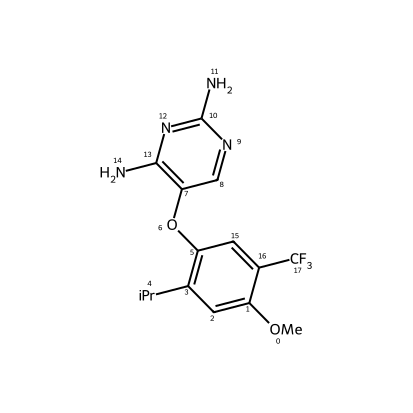 COc1cc(C(C)C)c(Oc2cnc(N)nc2N)cc1C(F)(F)F